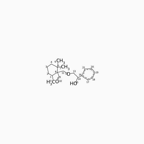 CC1CCCC(C)(C)C1(C=O)COCC(O)c1ccccc1